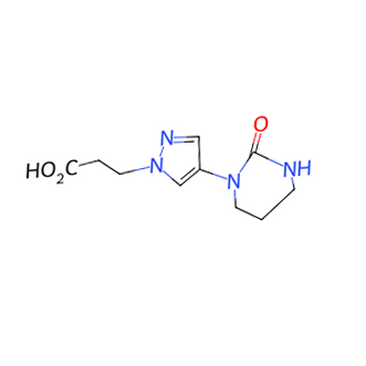 O=C(O)CCn1cc(N2CCCNC2=O)cn1